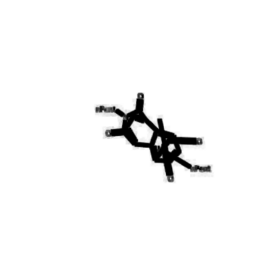 CCCCCn1c(=O)c2ccc(c1=O)c1c3ccc(c(=O)n(CCCCC)c3=O)c21